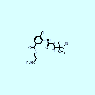 CCCCCCCCCCCCOC(=O)c1ccc(Cl)c(NC(=O)CC(=O)C(C)(C)SCC)c1